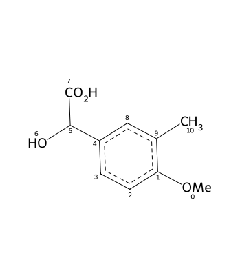 COc1ccc(C(O)C(=O)O)cc1C